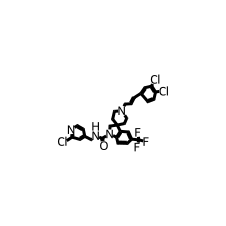 O=C(NCc1ccnc(Cl)c1)N1CC2(CCN(C/C=C/c3ccc(Cl)c(Cl)c3)CC2)c2cc(C(F)(F)F)ccc21